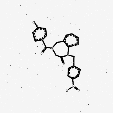 O=C(c1ccc(Cl)cc1)N1CC(=O)N(Cc2ccc([N+](=O)[O-])cc2)c2ccccc2C1